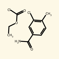 CCOC(=O)Cl.Cc1ccc(C(N)=O)cc1Cl